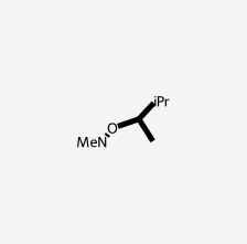 CNOC(C)C(C)C